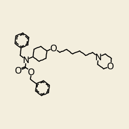 O=C(OCc1ccccc1)N(Cc1ccccc1)C1CCC(OCCCCCCN2CCOCC2)CC1